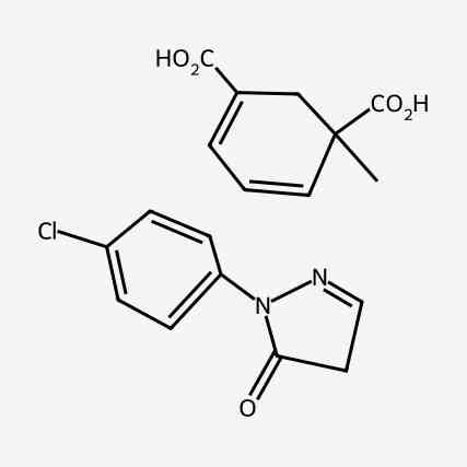 CC1(C(=O)O)C=CC=C(C(=O)O)C1.O=C1CC=NN1c1ccc(Cl)cc1